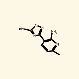 CCCc1nc(-c2ccc(C)nc2N)no1